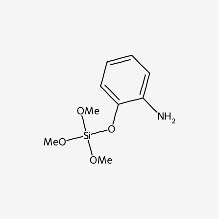 CO[Si](OC)(OC)Oc1ccccc1N